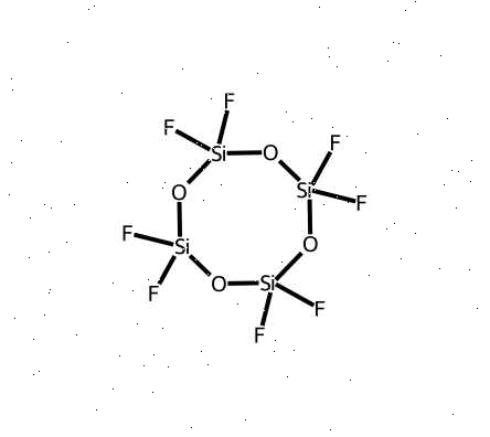 F[Si]1(F)O[Si](F)(F)O[Si](F)(F)O[Si](F)(F)O1